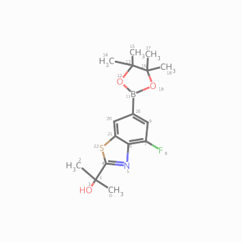 CC(C)(O)c1nc2c(F)cc(B3OC(C)(C)C(C)(C)O3)cc2s1